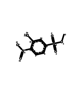 COS(=O)(=O)c1ccc([N+](=O)[O-])c(O)c1